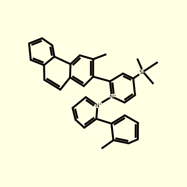 Cc1ccccc1-c1cccc[n+]1-[n+]1ccc([Si](C)(C)C)cc1-c1cc2ccc3ccccc3c2cc1C